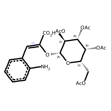 CC(=O)OC[C@@H]1O[C@H](O/C(=C\c2ccccc2N)C(=O)O)[C@@H](OC(C)=O)[C@H](OC(C)=O)[C@@H]1OC(C)=O